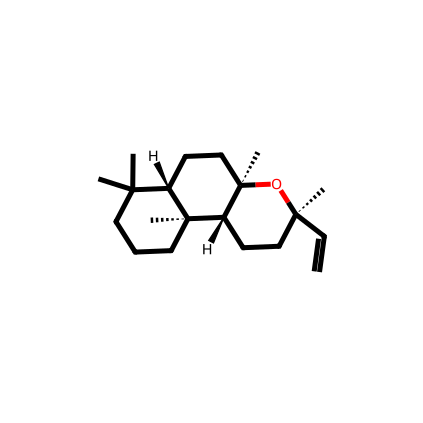 C=C[C@@]1(C)CC[C@@H]2[C@@]3(C)CCCC(C)(C)[C@@H]3CC[C@@]2(C)O1